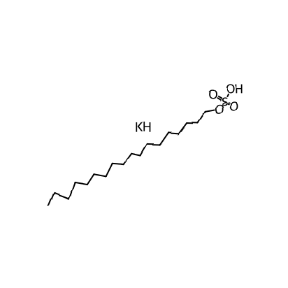 CCCCCCCCCCCCCCCCCCOS(=O)(=O)O.[KH]